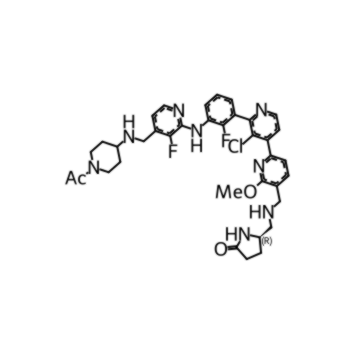 COc1nc(-c2ccnc(-c3cccc(Nc4nccc(CNC5CCN(C(C)=O)CC5)c4F)c3F)c2Cl)ccc1CNC[C@H]1CCC(=O)N1